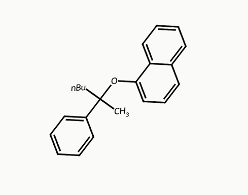 CCCCC(C)(Oc1cccc2ccccc12)c1ccccc1